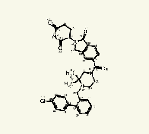 CC1(C)CN(C(=O)c2ccc3c(c2)CN(C2CCC(=O)NC2=O)C3=O)CCN1Cc1ccccc1-c1ccc(Cl)cc1